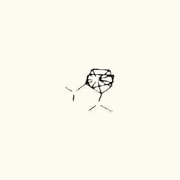 CCP(CC)[C]12[CH]3[CH]4[CH]5[C]1(P(CC)CC)[Ru]43521678[CH]2[CH]1[CH]6[CH]7[CH]28